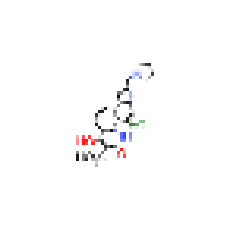 Cl.Cn1c(CN2CCCC2)cc2c3c(ccc21)-c1[nH]c(=O)c(C(=O)O)c(O)c1CC=C3